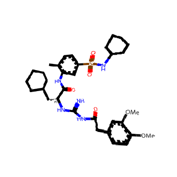 COc1ccc(CC(=O)NC(=N)N[C@H](CC2CCCCC2)C(=O)Nc2cc(S(=O)(=O)NC3CCCCC3)ccc2C)cc1OC